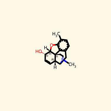 Cc1ccc2c3c1O[C@H]1[C@@H](O)C=C[C@H]4C(C2)N(C)CC[C@@]341